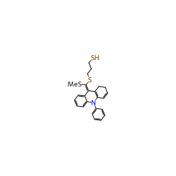 CS/C(SCCCS)=C1/C2=C(C=CCC2)N(c2ccccc2)c2ccccc21